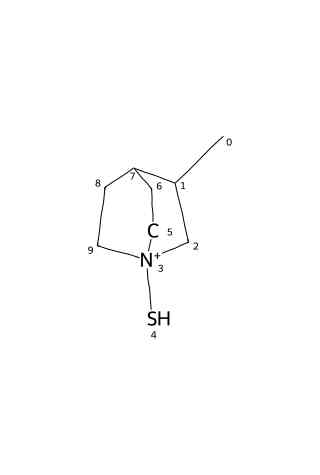 CC1C[N+]2(S)CCC1CC2